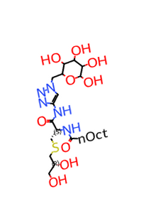 CCCCCCCCC(=O)N[C@H](CSC[C@H](O)CO)C(=O)Nc1cn(CC2OC(O)C(O)C(O)C2O)nn1